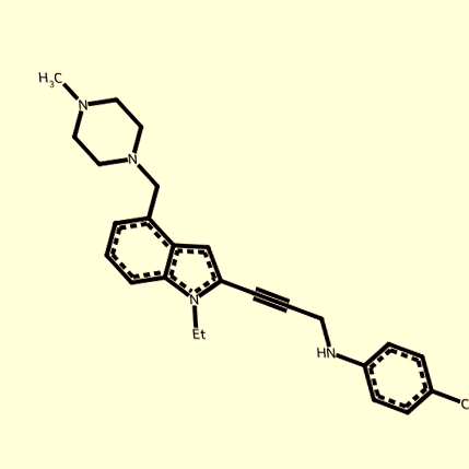 CCn1c(C#CCNc2ccc(Cl)cc2)cc2c(CN3CCN(C)CC3)cccc21